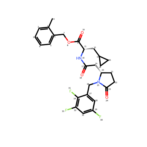 Cc1ccccc1COC(=O)[C@H](CC1CC1)NC(=O)C[C@@H]1CCC(=O)N1Cc1cc(F)cc(F)c1F